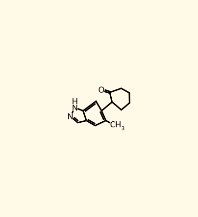 Cc1cc2cn[nH]c2cc1C1CCCCC1=O